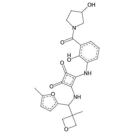 Cc1ccc(C(Nc2c(Nc3cccc(C(=O)N4CCC(O)C4)c3O)c(=O)c2=O)C2(C)COC2)o1